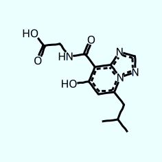 CC(C)Cc1cc(O)c(C(=O)NCC(=O)O)c2ncnn12